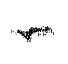 C=C[C@@H](CCNC(C)=N)NCc1ccc(-n2cc3cc(-c4cc(CCC[C@@H](N)COC)cc(Cl)c4F)[nH]c3nc2=O)cc1